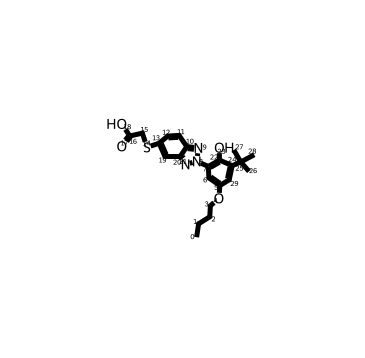 CCCCOc1cc(-n2nc3ccc(SCC(=O)O)cc3n2)c(O)c(C(C)(C)C)c1